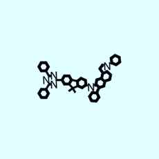 CC1(C)c2cc(-c3nc(-c4ccccc4)nc(-c4ccccc4)n3)ccc2-c2ccc(-n3c4ccccc4c4cc5ccc6c(ccn6-c6ccccc6)c5cc43)cc21